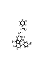 O=C(CCCC1Cc2[nH]c3c(F)ccc(-c4ccc(F)cc4)c3c2CN1)c1ccccc1